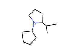 CC(C)C1CCCN1C1CCCC1